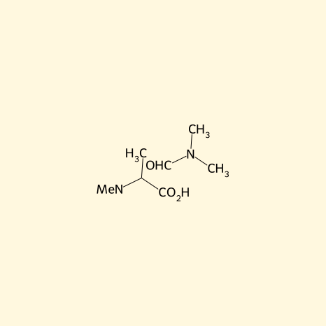 CN(C)C=O.CNC(C)C(=O)O